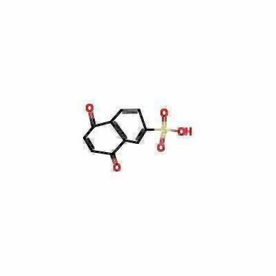 O=C1C=CC(=O)c2cc(S(=O)(=O)O)ccc21